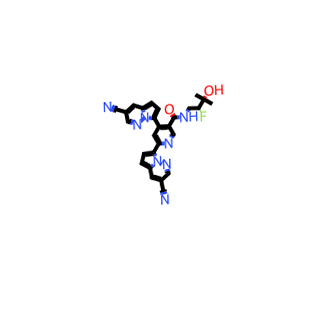 CC(C)(O)[C@H](F)CNC(=O)c1cnc(-c2ccc3cc(C#N)cnn23)cc1-c1ccc2cc(C#N)cnn12